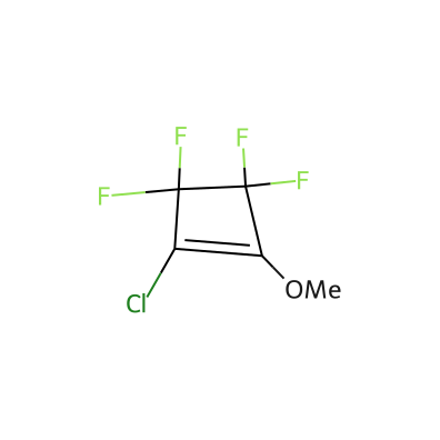 COC1=C(Cl)C(F)(F)C1(F)F